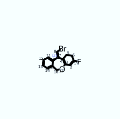 FC1=CC2=C(CC1)/C(=C\Br)c1ccccc1CO2